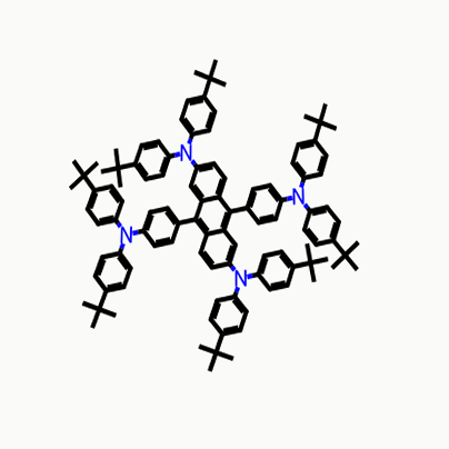 CC(C)(C)c1ccc(N(c2ccc(-c3c4ccc(N(c5ccc(C(C)(C)C)cc5)c5ccc(C(C)(C)C)cc5)cc4c(-c4ccc(N(c5ccc(C(C)(C)C)cc5)c5ccc(C(C)(C)C)cc5)cc4)c4ccc(N(c5ccc(C(C)(C)C)cc5)c5ccc(C(C)(C)C)cc5)cc34)cc2)c2ccc(C(C)(C)C)cc2)cc1